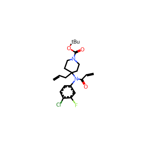 C=CCC1(N(C(=O)C=C)c2ccc(Cl)c(F)c2)CCN(C(=O)OC(C)(C)C)CC1